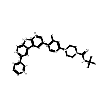 Cc1cc(N2CCN(C(=O)OC(C)(C)C)CC2)ncc1-c1cnc2[nH]c3cnc(-c4cccnc4)cc3c2c1